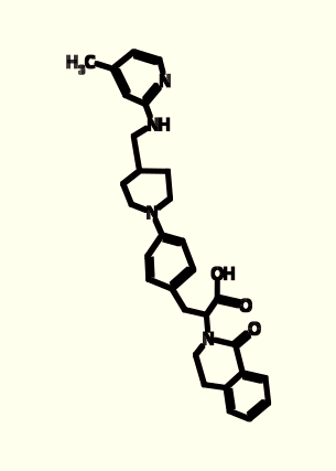 Cc1ccnc(NCC2CCN(c3ccc(CC(C(=O)O)N4CCc5ccccc5C4=O)cc3)CC2)c1